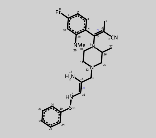 CCc1ccc(/C(=C(\C)C#N)N2CCN(C/C(N)=C/NSc3ccccc3)CC2C)c(NC)c1